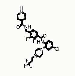 O=C(Nc1ccc(Cl)cc1N1CCN(CCC(F)(F)F)CC1)c1ccc(CNC(=O)C2CCNCC2)c(F)c1F